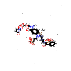 CN(C(=O)COCC(=O)ON1C(=O)CCC1=O)c1ccc2c(c1)S/C(=C/C=C/C=C1/C(=O)c3ccccc3S1(=O)=O)N2CCCS(=O)(=O)[O-].[Na+]